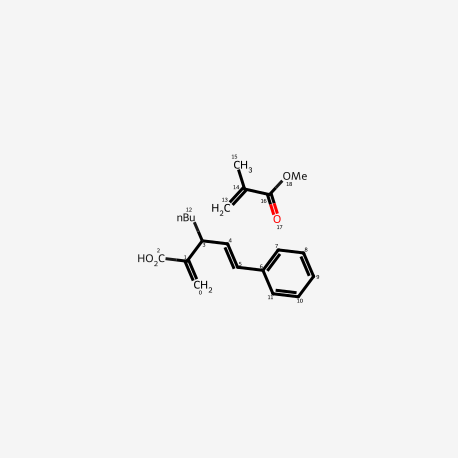 C=C(C(=O)O)C(C=Cc1ccccc1)CCCC.C=C(C)C(=O)OC